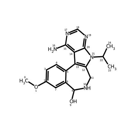 COc1ccc2c(c1)C(O)NCc1c-2c2c(N)ncnc2n1C(C)C